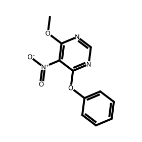 COc1ncnc(Oc2[c]cccc2)c1[N+](=O)[O-]